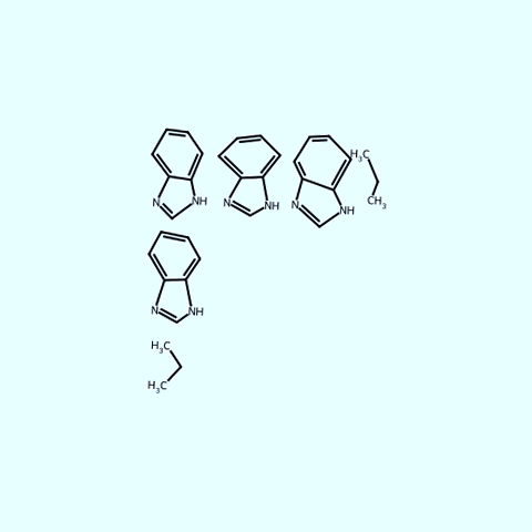 CCC.CCC.c1ccc2[nH]cnc2c1.c1ccc2[nH]cnc2c1.c1ccc2[nH]cnc2c1.c1ccc2[nH]cnc2c1